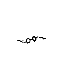 CC=CCOc1ccc(C2CCC(CCCCC)CC2)cc1